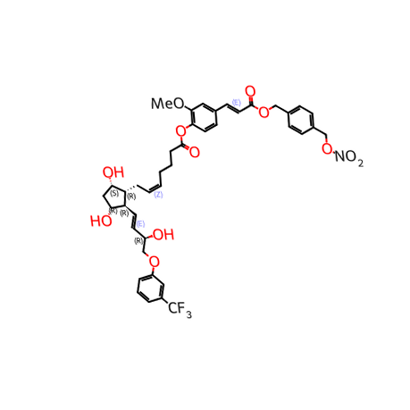 COc1cc(/C=C/C(=O)OCc2ccc(CO[N+](=O)[O-])cc2)ccc1OC(=O)CCC/C=C\C[C@@H]1[C@@H](/C=C/[C@@H](O)COc2cccc(C(F)(F)F)c2)[C@H](O)C[C@@H]1O